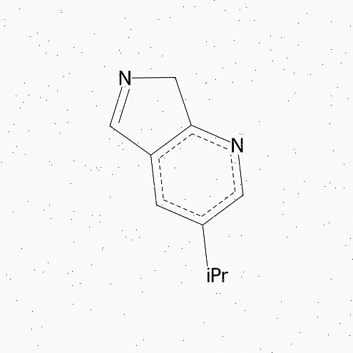 CC(C)c1cnc2c(c1)C=NC2